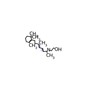 CC(/C=C/C=C(\C)CCC1=C(C)CCCC1(C)C)=NCCO